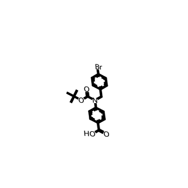 CC(C)(C)OC(=O)N(Cc1ccc(Br)cc1)c1ccc(C(=O)O)cc1